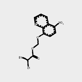 CCC(CC)C(=O)OCOc1ccc([N+](=O)[O-])c2cccnc12